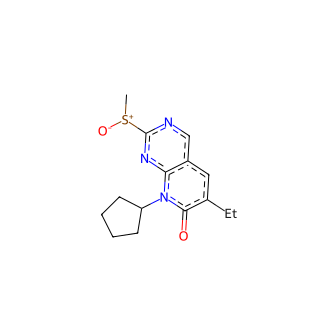 CCc1cc2cnc([S+](C)[O-])nc2n(C2CCCC2)c1=O